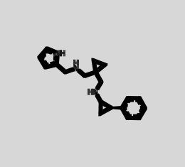 c1ccc([C@H]2CC2NCC2(CNCc3ccc[nH]3)CC2)cc1